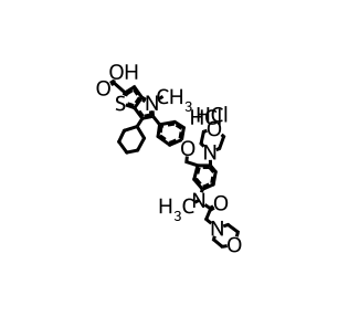 CN(C(=O)CN1CCOCC1)c1ccc(N2CCOCC2)c(COc2ccc(-c3c(C4CCCCC4)c4sc(C(=O)O)cc4n3C)cc2)c1.Cl.Cl